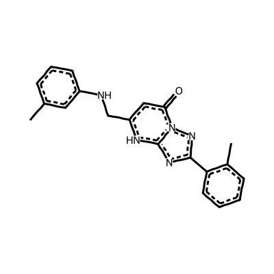 Cc1cccc(NCc2cc(=O)n3nc(-c4ccccc4C)nc3[nH]2)c1